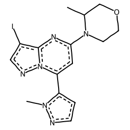 CC1COCCN1c1cc(-c2ccnn2C)n2ncc(I)c2n1